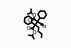 CCCCC(C(=O)OC(C)C)(C1CCCCC1)C(C#N)(C(=O)OC(C)C)C1CCCCC1